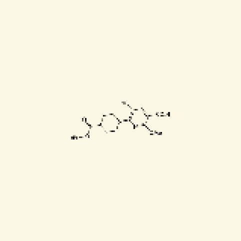 COc1nc(N2CCC(C(=O)OC(C)(C)C)CC2)c(C#N)cc1C(=O)O